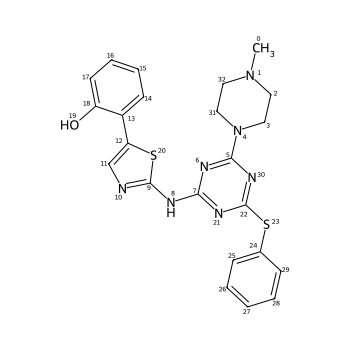 CN1CCN(c2nc(Nc3ncc(-c4ccccc4O)s3)nc(Sc3ccccc3)n2)CC1